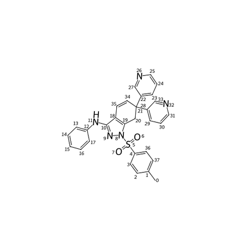 Cc1ccc(S(=O)(=O)n2nc(Nc3ccccc3)c3c2CC(c2cccnc2)(c2cccnc2)C=C3)cc1